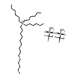 CCCCCCCCCCCCCC[PH](CCCCCC)(CCCCCC)CCCCCC.NS(=O)(=O)C(F)(F)F.NS(=O)(=O)C(F)(F)F